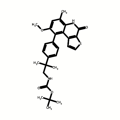 COc1cc(C)c2[nH]c(=O)c3sccc3c2c1-c1ccc(C(C)(C)CNC(=O)OC(C)(C)C)cc1